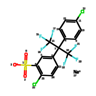 O=S(=O)([O-])c1cc(C(c2ccc(Cl)cc2)(C(F)(F)F)C(F)(F)F)ccc1Cl.[Na+]